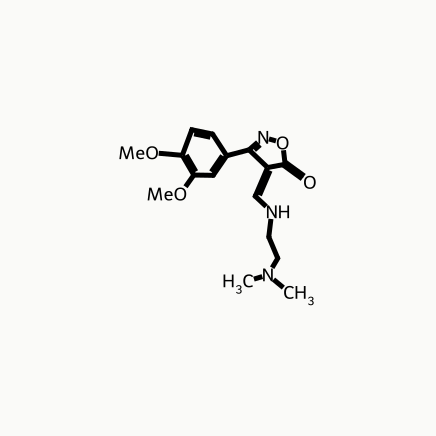 COc1ccc(C2=NOC(=O)C2=CNCCN(C)C)cc1OC